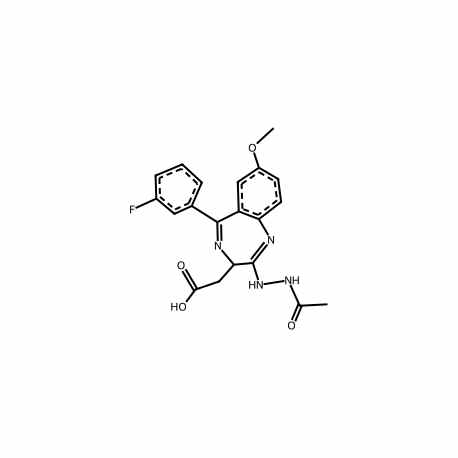 COc1ccc2c(c1)C(c1cccc(F)c1)=NC(CC(=O)O)C(NNC(C)=O)=N2